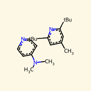 CN(C)c1ccncc1.Cc1cc(C(C)(C)C)nc(C(C)(C)C)c1